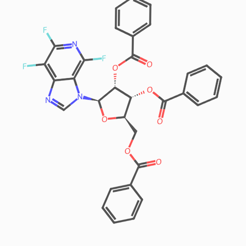 O=C(OC[C@H]1O[C@@H](n2cnc3c(F)c(F)nc(F)c32)[C@H](OC(=O)c2ccccc2)[C@@H]1OC(=O)c1ccccc1)c1ccccc1